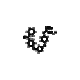 CO[C@@H](Cc1ccc(OC2CCC(Oc3ccc(C(=O)c4ccccc4)cc3)C2)cc1)C(=O)O